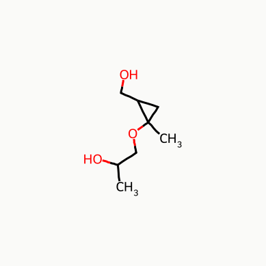 CC(O)COC1(C)CC1CO